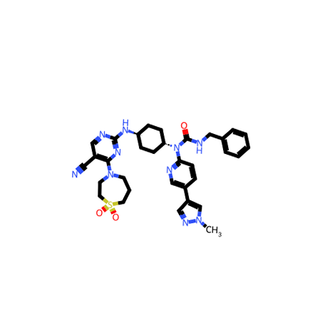 Cn1cc(-c2ccc(N(C(=O)NCc3ccccc3)[C@H]3CC[C@H](Nc4ncc(C#N)c(N5CCCS(=O)(=O)CC5)n4)CC3)nc2)cn1